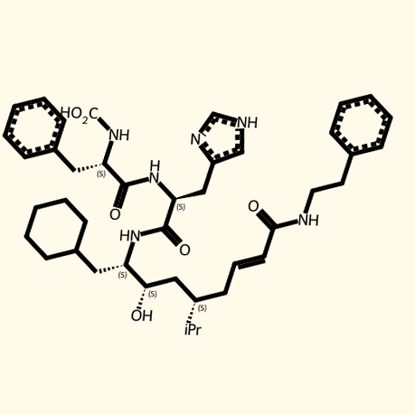 CC(C)[C@@H](CC=CC(=O)NCCc1ccccc1)C[C@H](O)[C@H](CC1CCCCC1)NC(=O)[C@H](Cc1c[nH]cn1)NC(=O)[C@H](Cc1ccccc1)NC(=O)O